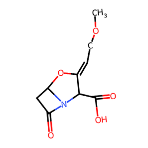 COC/C=C1\OC2CC(=O)N2C1C(=O)O